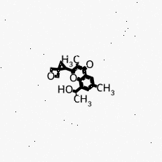 Cc1cc([C@H](C)O)c2oc(C3CC34COC4)c(C)c(=O)c2c1